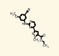 CCOC(=O)c1cc(-c2ccnc(Nc3cc(C#N)cc(OC)c3)n2)nn1C